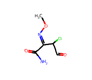 CON=C(C(N)=O)C(Cl)C=O